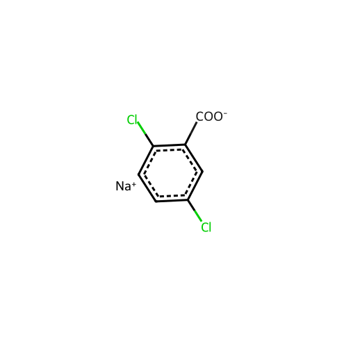 O=C([O-])c1cc(Cl)ccc1Cl.[Na+]